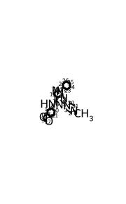 CN1CCN(c2nc(Nc3ccc4c(c3)OCO4)c3cnn(-c4ccccc4)c3n2)CC1